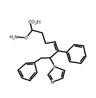 CCOC(=O)C(CCC=C(c1ccccc1)C(Cc1ccccc1)n1ccnc1)ON